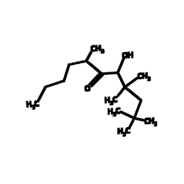 CCCCC(C)C(=O)C(O)C(C)(C)CC(C)(C)C